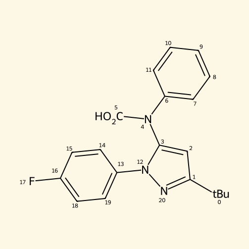 CC(C)(C)c1cc(N(C(=O)O)c2ccccc2)n(-c2ccc(F)cc2)n1